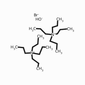 CCC[N+](CCC)(CCC)CCC.CCC[N+](CCC)(CCC)CCC.[Br-].[OH-]